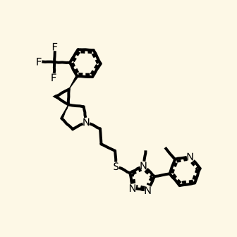 Cc1ncccc1-c1nnc(SCCCN2CC[C@]3(C[C@H]3c3ccccc3C(F)(F)F)C2)n1C